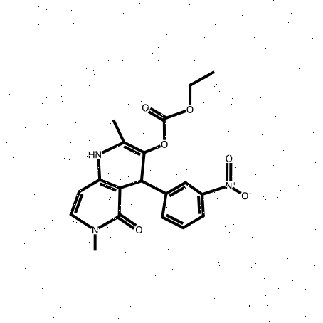 CCOC(=O)OC1=C(C)Nc2ccn(C)c(=O)c2C1c1cccc([N+](=O)[O-])c1